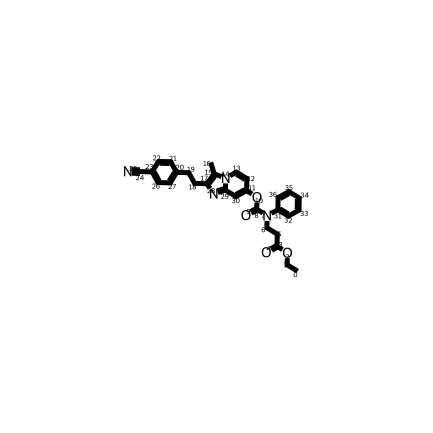 CCOC(=O)CCN(C(=O)Oc1ccn2c(C)c(CCc3ccc(C#N)cc3)nc2c1)c1ccccc1